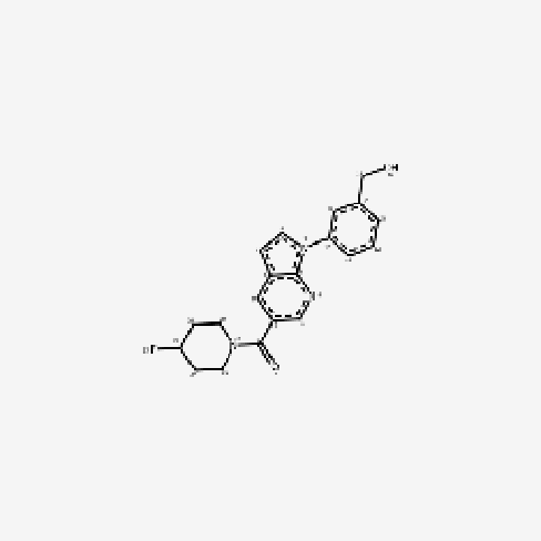 O=C(c1cnc2c(ccn2-c2cccc(CO)c2)c1)N1CCC(F)CC1